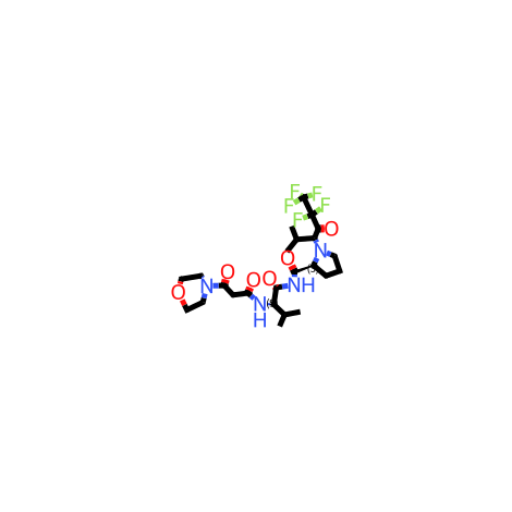 CC(C)C(C(=O)C(F)(F)C(F)(F)F)N1CCC[C@H]1C(=O)NC(=O)[C@@H](NC(=O)CC(=O)N1CCOCC1)C(C)C